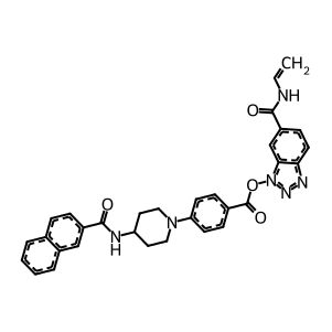 C=CNC(=O)c1ccc2nnn(OC(=O)c3ccc(N4CCC(NC(=O)c5ccc6ccccc6c5)CC4)cc3)c2c1